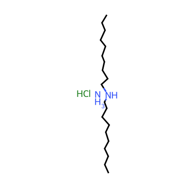 CCCCCCCCCCNCCCCCCCCCC.Cl.N